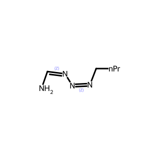 CCCC/N=N\N=C/N